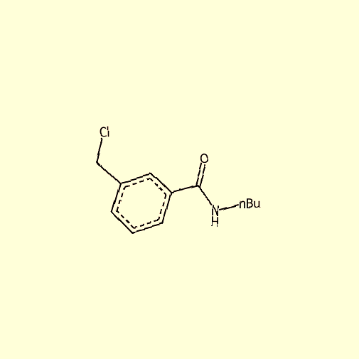 CCCCNC(=O)c1cccc(CCl)c1